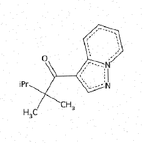 CC(C)C(C)(C)C(=O)c1cnn2ccccc12